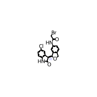 O=C(CBr)Nc1ccc2c(c1)/C(=C1/C(=O)Nc3ccc(Cl)cc31)OC2